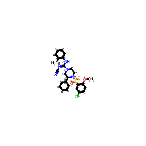 COc1ccc(Cl)cc1S(=O)(=O)N1CCN(/C(=N\C#N)Nc2ccccc2C)CC1c1ccccc1